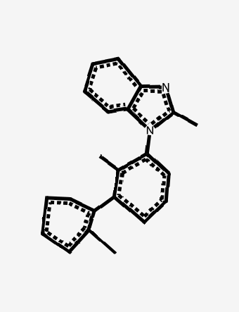 Cc1ccccc1-c1cccc(-n2c(C)nc3ccccc32)c1C